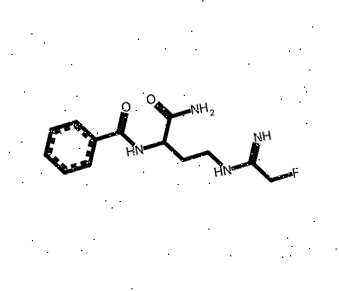 N=C(CF)NCCC(NC(=O)c1ccccc1)C(N)=O